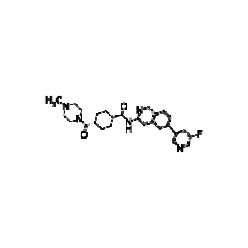 CN1CCN(C(=O)[C@H]2CC[C@H](C(=O)Nc3cc4cc(-c5cncc(F)c5)ccc4cn3)CC2)CC1